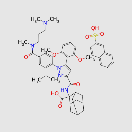 COc1cccc(OC)c1-c1cc(C(=O)NC2(C(=O)O)C3CC4CC(C3)CC2C4)nn1-c1ccc(C(=O)N(C)CCCN(C)C)cc1C(C)C.O=S(=O)(O)c1ccc2ccccc2c1